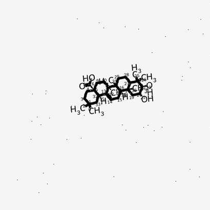 CC1(C)CC[C@]2(C(=O)O)CC[C@]3(C)C(=CC[C@@H]4[C@@]5(C)C[C@H](O)[C@H](O)C(C)(C)C5CC[C@]43C)[C@H]2C1